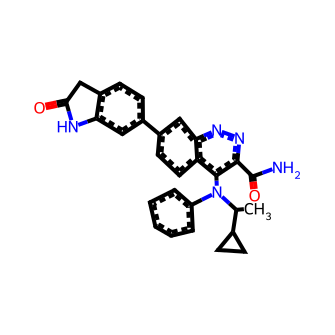 CC(C1CC1)N(c1ccccc1)c1c(C(N)=O)nnc2cc(-c3ccc4c(c3)NC(=O)C4)ccc12